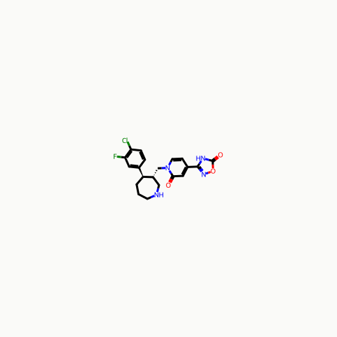 O=c1[nH]c(-c2ccn(C[C@@H]3CNCCC[C@H]3c3ccc(Cl)c(F)c3)c(=O)c2)no1